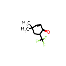 CC1(C)C=CC(=O)C(C(F)(F)F)C1